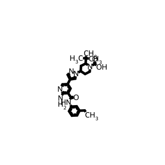 CCc1cccc(NC(=O)c2cc(-c3cnn(C4CCN(C(=O)O)C(C(C)(C)C)C4)c3)cnc2N)c1